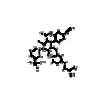 CC1=C(C(=O)O)C(c2ccc(C#N)cc2)N(Cc2cccc(C=CC(=O)O)c2)C(=O)N1c1cccc(C(F)(F)F)c1